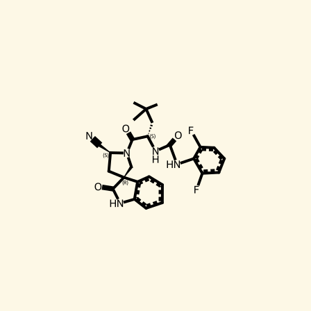 CC(C)(C)C[C@H](NC(=O)Nc1c(F)cccc1F)C(=O)N1C[C@]2(C[C@H]1C#N)C(=O)Nc1ccccc12